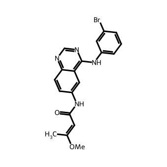 CO/C(C)=C/C(=O)Nc1ccc2ncnc(Nc3cccc(Br)c3)c2c1